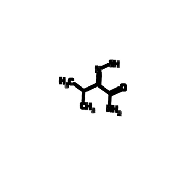 CC(C)/C(=N/S)C(N)=O